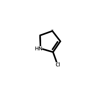 ClC1=C[C]CN1